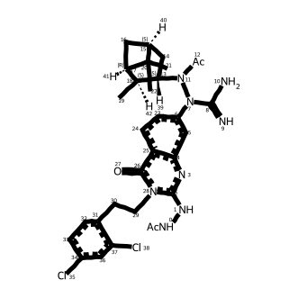 CC(=O)NNc1nc2cc(N(C(=N)N)N(C(C)=O)[C@H]3C[C@@H]4C[C@H]([C@@H]3C)C4(C)C)ccc2c(=O)n1CCc1ccc(Cl)cc1Cl